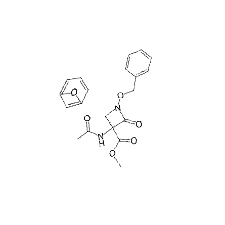 COC(=O)C1(NC(C)=O)CN(OCc2ccccc2)C1=O.c1cc2cc(c1)O2